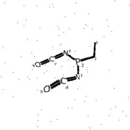 CCP(N=C=O)N=C=O